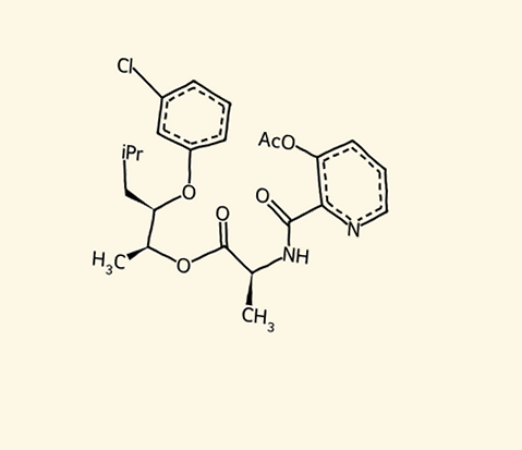 CC(=O)Oc1cccnc1C(=O)N[C@@H](C)C(=O)O[C@@H](C)[C@@H](CC(C)C)Oc1cccc(Cl)c1